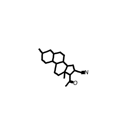 CC(=O)C1C(C#N)CC2C3CCC4CC(C)CCC4C3CCC21C